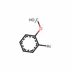 CC(=O)c1ccccc1OC(=O)O